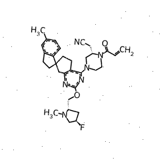 C=CC(=O)N1CCN(c2nc(OC[C@@H]3C[C@@H](F)CN3C)nc3c2CCC2(CCc4cc(C)ccc42)C3)C[C@@H]1CC#N